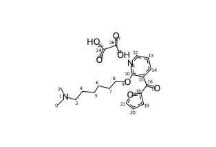 CN(C)CCCCCCOc1ncccc1C(=O)c1ccco1.O=C(O)C(=O)O